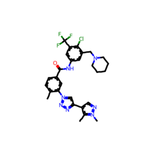 Cc1ccc(C(=O)Nc2cc(CN3CCCCC3)c(Cl)c(C(F)(F)F)c2)cc1-n1cc(-c2cnn(C)c2C)nn1